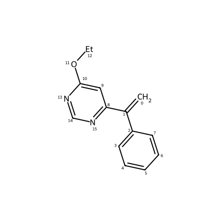 C=C(c1ccccc1)c1cc(OCC)ncn1